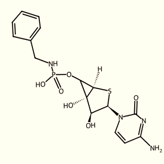 Nc1ccn([C@@H]2S[C@@H]3C(OP(=O)(O)NCc4ccccc4)[C@]3(O)[C@@H]2O)c(=O)n1